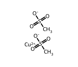 CS(=O)(=O)[O-].CS(=O)(=O)[O-].[Cu+2]